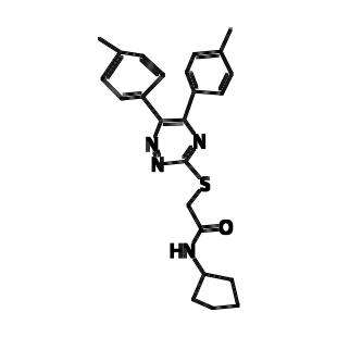 Cc1ccc(-c2nnc(SCC(=O)NC3CCCC3)nc2-c2ccc(C)cc2)cc1